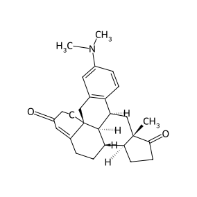 CN(C)c1ccc2c(c1)C[C@]13CCC(=O)C=C1CC[C@@H]1[C@@H]3[C@@H]2C[C@]2(C)C(=O)CC[C@@H]12